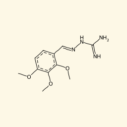 COc1ccc(C=NNC(=N)N)c(OC)c1OC